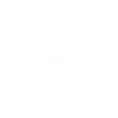 [2H]c1cc(OCC)nc(C(F)(F)F)c1